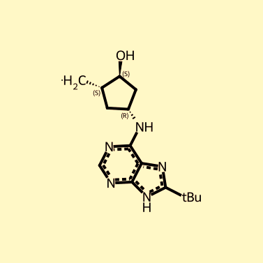 [CH2][C@H]1C[C@@H](Nc2ncnc3[nH]c(C(C)(C)C)nc23)C[C@@H]1O